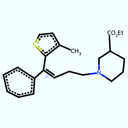 CCOC(=O)C1CCCN(CC/C=C(/c2ccccc2)c2sccc2C)C1